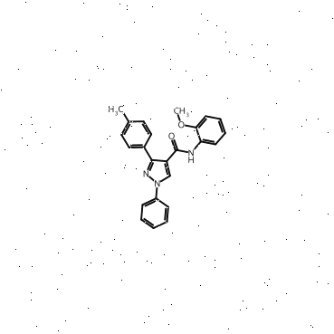 COc1ccccc1NC(=O)c1cn(-c2ccccc2)nc1-c1ccc(C)cc1